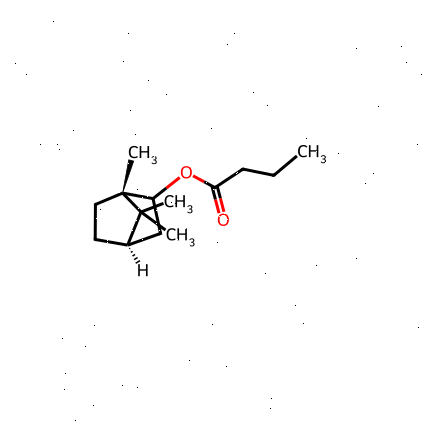 CCCC(=O)OC1C[C@H]2CC[C@@]1(C)C2(C)C